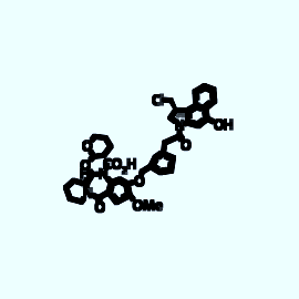 COc1cc2c(cc1OCc1cccc(CC(=O)N3C[C@@H](CCl)c4c3cc(O)c3ccccc43)c1)N(C(=O)O)C(OC1CCCCO1)[C@@H]1CCCCN1C2=O